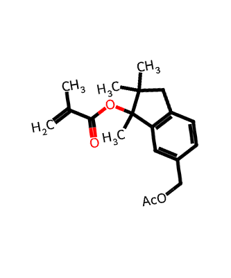 C=C(C)C(=O)OC1(C)c2cc(COC(C)=O)ccc2CC1(C)C